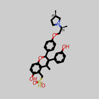 CC1=C(c2cccc(O)c2)C(c2ccc(OC[C@H](C)N3CC[C@@H](C)C3)cc2)Oc2ccc(O)c(C[SH](=O)=O)c21